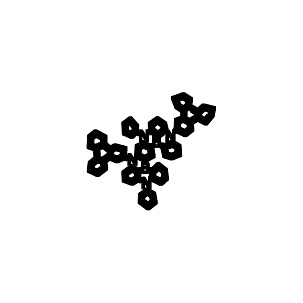 c1ccc(N2c3ccccc3B3c4cc5c(cc4N(c4ccc6c7ccccc7c7ccccc7c6c4)c4cccc2c43)N(c2ccccc2)c2cccc3c2B5c2ccccc2N3c2ccc3c4ccccc4c4ccccc4c3c2)cc1